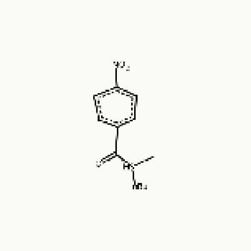 [CH2][SH](CCCC)C(=O)c1ccc([N+](=O)[O-])cc1